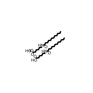 CCCCCCCCCCCC(=O)NCCCCCC(=O)O.CCCCCCCCCCCC(=O)NCCCCCC(=O)OO